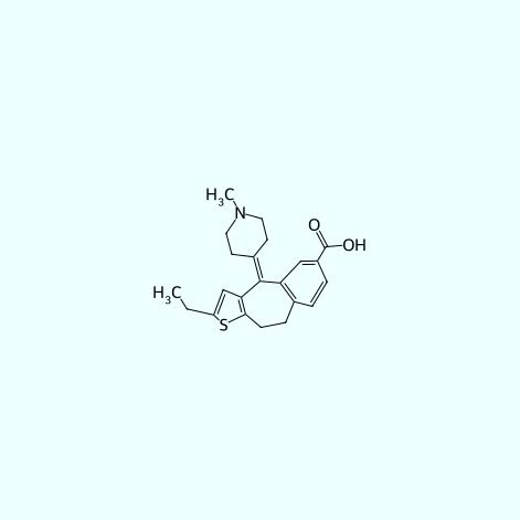 CCc1cc2c(s1)CCc1ccc(C(=O)O)cc1C2=C1CCN(C)CC1